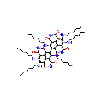 CCCCCCNc1c(NCCCCCC)c2c3c(c(-c4c(NCCCCCC)c5c6c(c(NCCCCCC)c(NCCCCCC)c7c6c4C(=O)NC7=O)C(=O)NC5=O)c(NCCCCCC)c4c3c1C(=O)NC4=O)C(=O)NC2=O